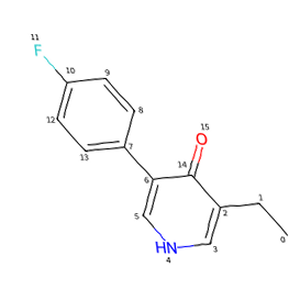 [CH2]Cc1c[nH]cc(-c2ccc(F)cc2)c1=O